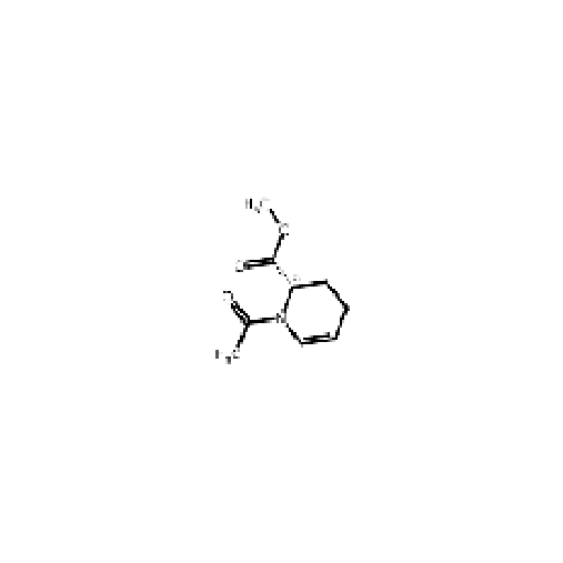 COC(=O)[C@@H]1CCC=CN1C(C)=O